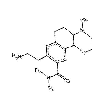 CCCN1CCOC2c3cc(C(=O)N(CC)CC)c(CCN)cc3CCC21